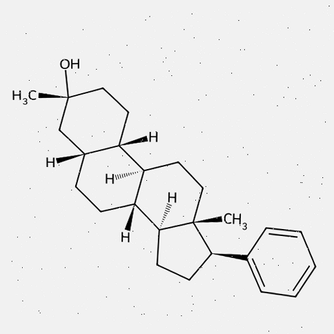 C[C@@]1(O)CC[C@H]2[C@H](CC[C@@H]3[C@@H]2CC[C@]2(C)[C@@H](c4ccccc4)CC[C@@H]32)C1